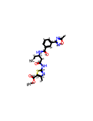 Cc1nc(-c2cccc(C(=O)NC(CC#N)CC(=O)Nc3nc(C)c(C(=O)OC(C)C)s3)c2)no1